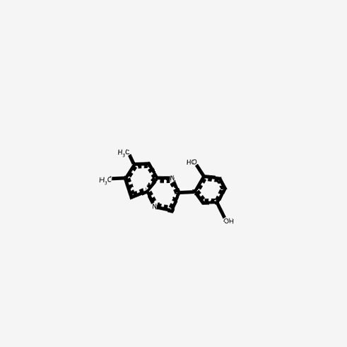 Cc1cc2ncc(-c3cc(O)ccc3O)nc2cc1C